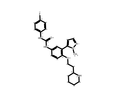 Cn1nccc1-c1cc(NC(=O)Nc2ccc(F)cc2)ccc1OCCC1CCCCN1